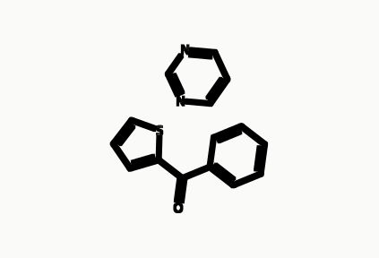 O=C(c1ccccc1)c1cccs1.c1cncnc1